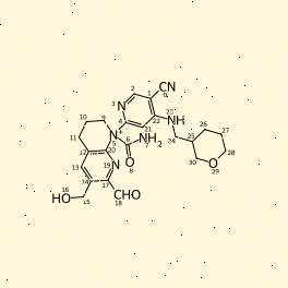 N#Cc1cnc([N+]2(C(N)=O)CCCc3cc(CO)c(C=O)nc32)cc1NCC1CCCOC1